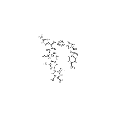 CO/N=C(\C(=O)N[C@@H]1C(=O)N2C(C(=O)O)=C(CSc3nc(=O)c(O)nn3C)CS[C@H]12)c1csc(N)n1.Cc1cc(NS(=O)(=O)c2ccc(N)cc2)no1